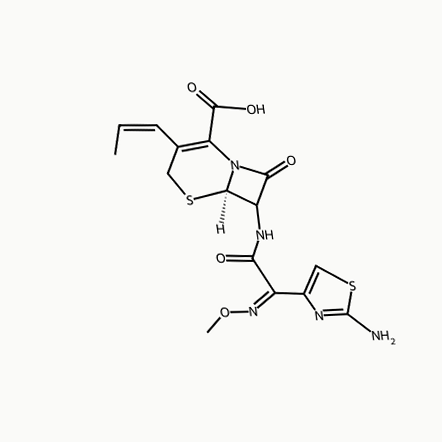 C/C=C\C1=C(C(=O)O)N2C(=O)C(NC(=O)/C(=N\OC)c3csc(N)n3)[C@H]2SC1